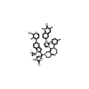 CCc1nccc(-c2ccc3c(c2)cc(C(=O)N2CCC4=NCCC(c5cccc(C)c5)C(n5ccn(-c6ccc7c(c6)cc(C)c(=O)n7C)c5=O)=C4C2)n3[C@@]2(c3noc(=O)[nH]3)C[C@@H]2C)c1C